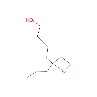 CCCC1(CCCCO)CCO1